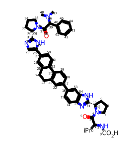 CC(C)C(NC(=O)O)C(=O)N1CCC[C@H]1c1nc2ccc(-c3ccc4c(c3)CCc3cc(-c5cnc([C@@H]6CCCN6C(=O)C(c6ccccc6)N(C)C)[nH]5)ccc3-4)cc2[nH]1